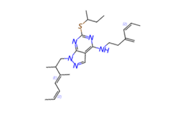 C=C(/C=C\C)CCNc1nc(SC(C)CC)nc2c1cnn2CC(C)/C(C)=C/C=C\C